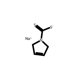 S=C([S-])N1CC=CC1.[Na+]